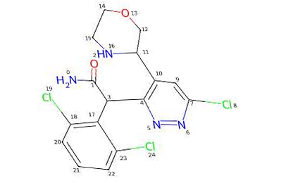 NC(=O)C(c1nnc(Cl)cc1C1COCCN1)c1c(Cl)cccc1Cl